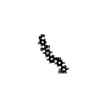 CC(C)Oc1ccc(NC(=O)N2CCN(c3ccnc(Nc4ccc(C5CNCCO5)cc4)n3)CC2)cc1